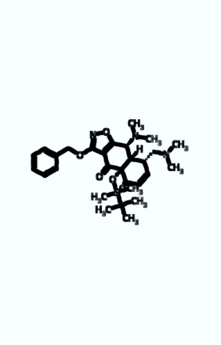 CN(C)C[C@@H]1C=CC(=O)[C@]2(O[Si](C)(C)C(C)(C)C)C(=O)c3c(OCc4ccccc4)noc3[C@@H](N(C)C)[C@H]12